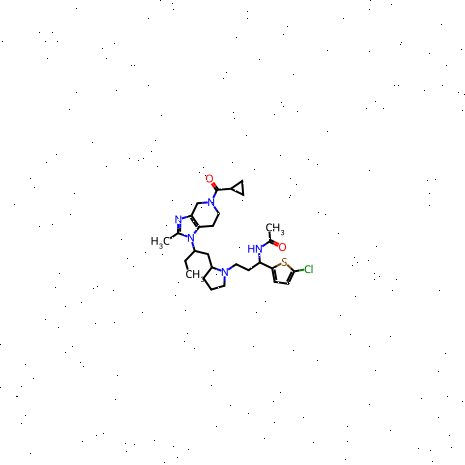 CCC(CC1CCCN1CCC(NC(C)=O)c1ccc(Cl)s1)n1c(C)nc2c1CCN(C(=O)C1CC1)C2